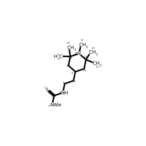 CNC(=S)NCCC1CC(C)(C)N(C)C(C)(C)C1